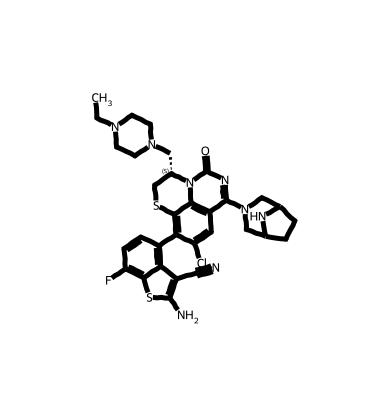 CCN1CCN(C[C@H]2CSc3c(-c4ccc(F)c5sc(N)c(C#N)c45)c(Cl)cc4c(N5CC6CCC(C5)N6)nc(=O)n2c34)CC1